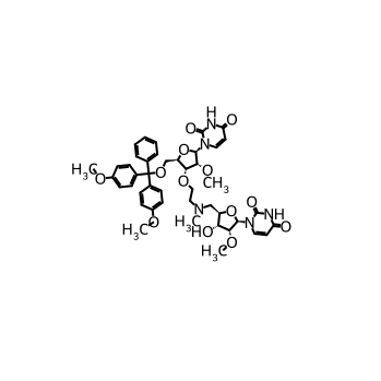 COc1ccc(C(OC[C@H]2O[C@@H](n3ccc(=O)[nH]c3=O)[C@H](OC)[C@@H]2OCCN(C)C[C@H]2O[C@@H](n3ccc(=O)[nH]c3=O)[C@H](OC)[C@@H]2O)(c2ccccc2)c2ccc(OC)cc2)cc1